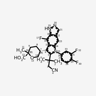 CC(C)(CC#N)c1c([C@H]2CC[C@](C)(C(=O)O)OC2)c2c(F)c3[nH]ncc3cc2n1-c1ccc(F)c(F)c1